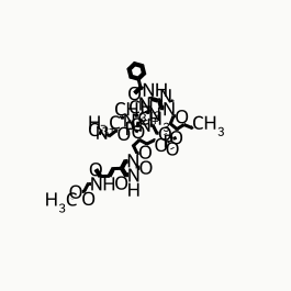 [C-]#[N+]CCOP(OC1CC(n2cc(/C=C/C(=O)NCC(=O)OC)c(=O)[nH]c2=O)OC1COP(=O)(OCC[N+]#[C-])OC1CC(n2cnc3c(NC(=O)c4ccccc4)ncnc32)OC1CC)N(C(C)C)C(C)C